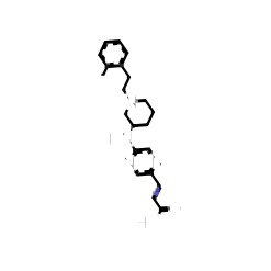 O=C(O)/C=C/c1cnc(N[C@@H]2CCCN(CCc3ccccc3Cl)C2)cn1